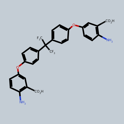 Nc1ccc(Oc2ccc(C(c3ccc(Oc4ccc(N)c(C(=O)O)c4)cc3)(C(F)(F)F)C(F)(F)F)cc2)cc1C(=O)O